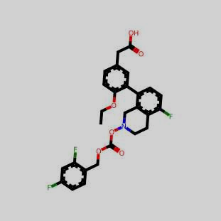 CCOc1ccc(CC(=O)O)cc1-c1ccc(F)c2c1CN(OC(=O)OCc1ccc(F)cc1F)CC2